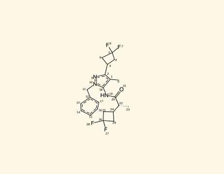 Cc1c(C2CC(F)(F)C2)nn(Cc2ccccc2)c1NC(=O)[C@H](C)C1CC(F)(F)C1